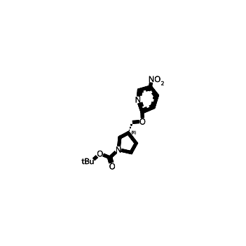 CC(C)(C)OC(=O)N1CC[C@@H](COc2ccc([N+](=O)[O-])cn2)C1